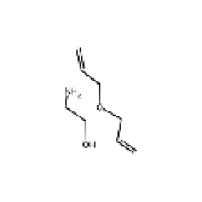 C=CCOCC=C.NCCO